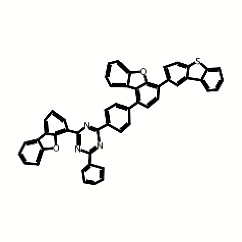 c1ccc(-c2nc(-c3ccc(-c4ccc(-c5ccc6sc7ccccc7c6c5)c5oc6ccccc6c45)cc3)nc(-c3cccc4c3oc3ccccc34)n2)cc1